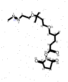 C/N=N/CCOC(C)(C)CCOCC(C)CCC(=O)ON1C(=O)CCC1=O